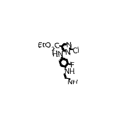 CCOC(=O)c1cnc(Cl)nc1Nc1ccc(N/C=C\C=N)c(F)c1